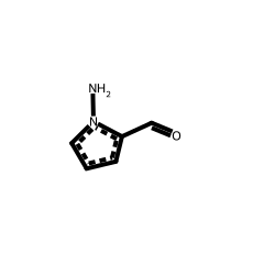 Nn1cccc1C=O